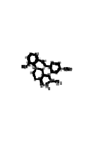 COc1ccc(COc2nccc(C)c2N2CCC(=O)C(=CN(C)C)C2)cc1